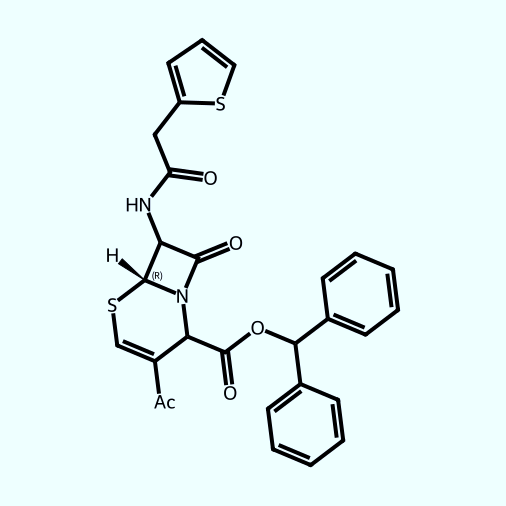 CC(=O)C1=CS[C@@H]2C(NC(=O)Cc3cccs3)C(=O)N2C1C(=O)OC(c1ccccc1)c1ccccc1